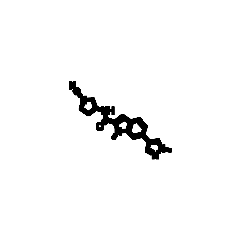 Cn1cc(-c2ccc3cc(C(=O)NC4CCN(C#N)C4)n(C)c3c2)cn1